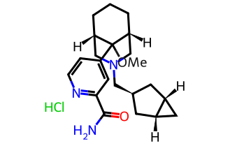 COC1(c2ccnc(C(N)=O)c2)[C@@H]2CCC[C@H]1CN(C[C@H]1C[C@@H]3C[C@@H]3C1)C2.Cl